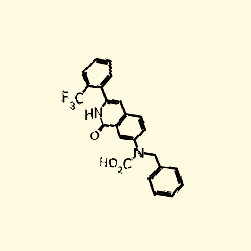 O=C(O)N(Cc1ccccc1)c1ccc2cc(-c3ccccc3C(F)(F)F)[nH]c(=O)c2c1